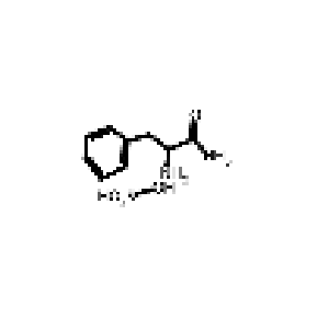 NC(=O)[C@@H](N)Cc1ccccc1.O=S(=O)(O)O